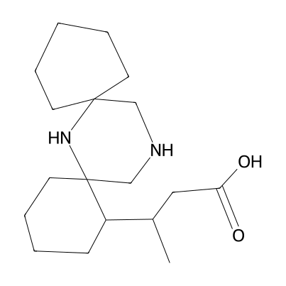 CC(CC(=O)O)C1CCCCC12CNCC1(CCCCC1)N2